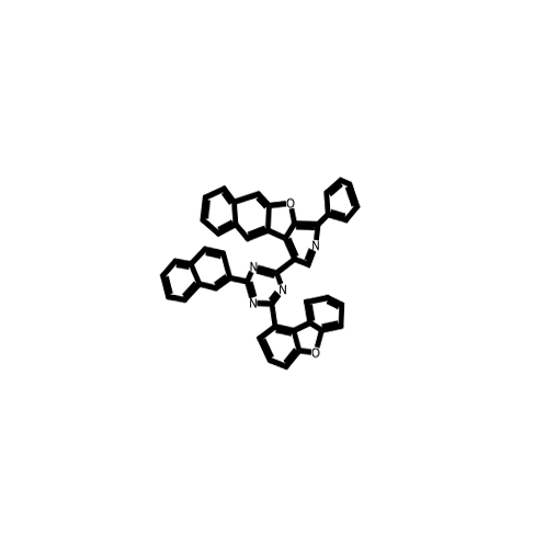 c1ccc(-c2ncc(-c3nc(-c4ccc5ccccc5c4)nc(-c4cccc5oc6ccccc6c45)n3)c3c2oc2cc4ccccc4cc23)cc1